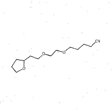 N#CCCCCOCCOCCC1CCCO1